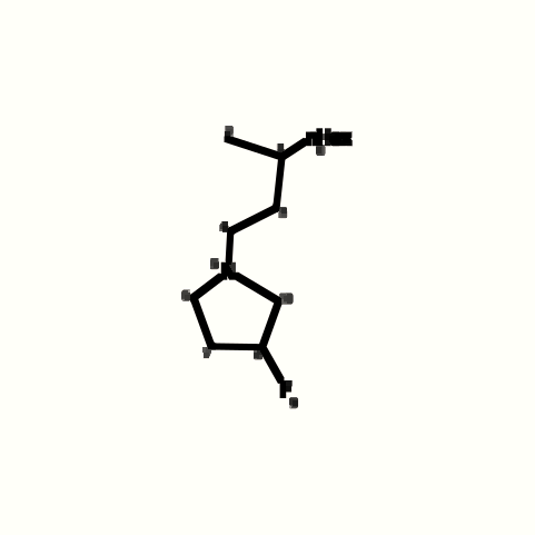 CCCCCCC(C)CCN1CCC(F)C1